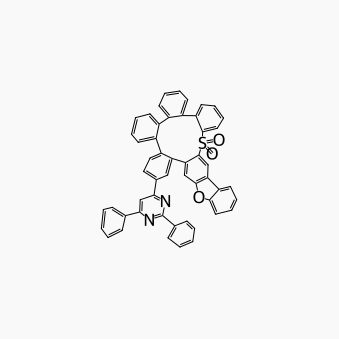 O=S1(=O)c2ccccc2-c2ccccc2-c2ccccc2-c2ccc(-c3cc(-c4ccccc4)nc(-c4ccccc4)n3)cc2-c2cc3oc4ccccc4c3cc21